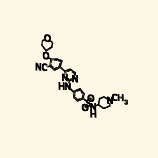 CN1CCC(NS(=O)(=O)c2ccc(Nc3nccc(-c4ccc(OC5CCOCC5)c(C#N)c4)n3)cc2)CC1